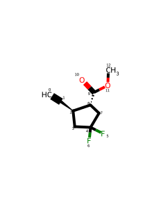 C#C[C@@H]1CC(F)(F)C[C@H]1C(=O)OC